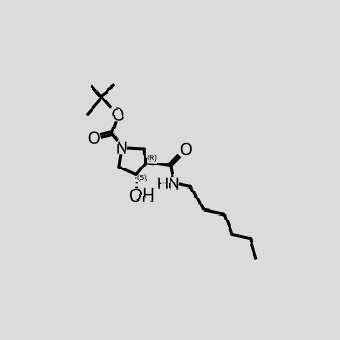 CCCCCCNC(=O)[C@@H]1CN(C(=O)OC(C)(C)C)C[C@H]1O